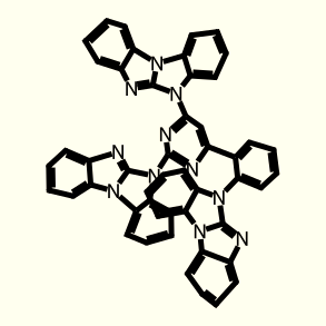 c1ccc(-n2c3ccccc3n3c4ccccc4nc23)c(-c2cc(-n3c4ccccc4n4c5ccccc5nc34)nc(-n3c4ccccc4n4c5ccccc5nc34)n2)c1